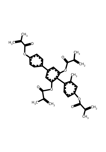 C=C(C)C(=O)Oc1ccc(-c2cc(OC(=O)C(=C)C)c(-c3ccc(OC(=O)C(=C)C)cc3C)c(OC(=O)C(=C)C)c2)cc1